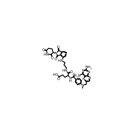 CN(Cc1cnc2nc(N)nc(N)c2n1)c1ccc(C(=O)NC(CCC(=O)O)C(=O)NCCCNc2cccc3c2C(=O)N(C2CCC(=O)NC2=O)C3=O)cc1